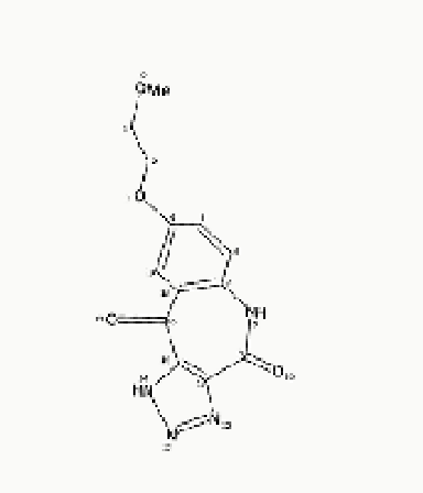 COCCOc1ccc2[nH]c(=O)c3nn[nH]c3c(=O)c2c1